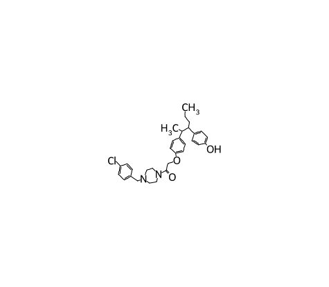 CCCC(c1ccc(O)cc1)C(C)c1ccc(OCC(=O)N2CCN(Cc3ccc(Cl)cc3)CC2)cc1